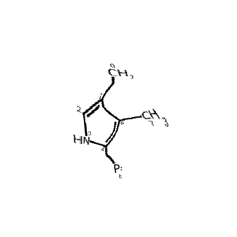 Cc1c[nH]c([P])c1C